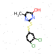 Cc1cc(O)nc(SSc2ccc(Cl)c(Cl)c2)n1